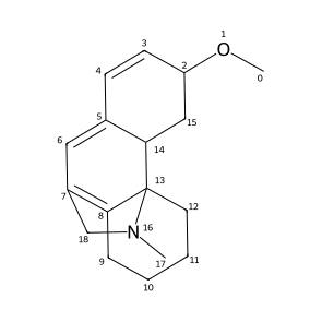 COC1C=CC2=CC3=C4CCCCC4(C2C1)N(C)C3